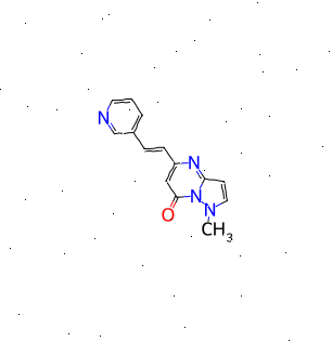 Cn1ccc2nc(/C=C/c3cccnc3)cc(=O)n21